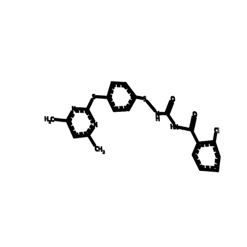 Cc1cc(C)nc(Sc2ccc(SNC(=O)NC(=O)c3ccccc3Cl)cc2)n1